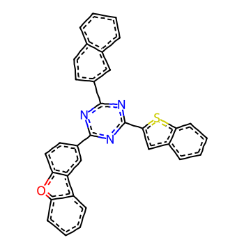 c1ccc2cc(-c3nc(-c4ccc5oc6ccccc6c5c4)nc(-c4cc5ccccc5s4)n3)ccc2c1